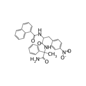 CC(NC(=O)C(Cc1ccc([N+](=O)[O-])cc1)NC(=O)c1cccc2ccccc12)(C(N)=O)c1ccccc1